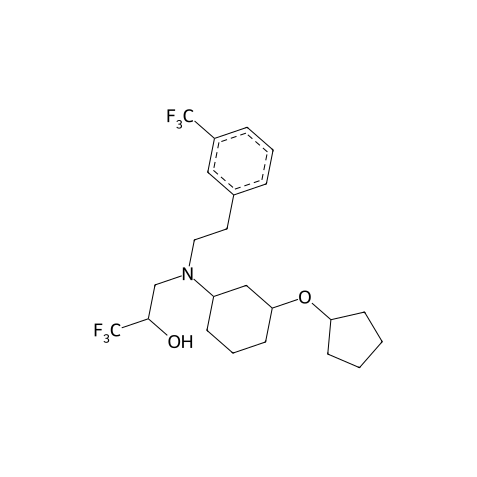 OC(CN(CCc1cccc(C(F)(F)F)c1)C1CCCC(OC2CCCC2)C1)C(F)(F)F